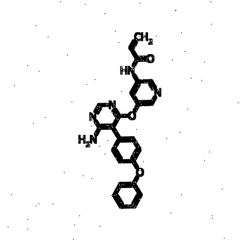 C=CC(=O)Nc1cncc(Oc2ncnc(N)c2-c2ccc(Oc3ccccc3)cc2)c1